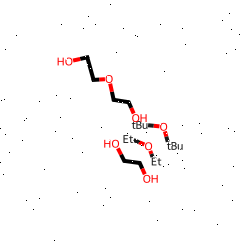 CC(C)(C)OC(C)(C)C.CCOCC.OCCO.OCCOCCO